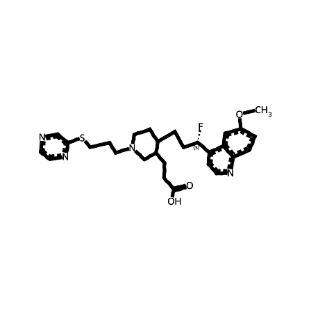 COc1ccc2nccc([C@@H](F)CCC3CCN(CCCSc4cnccn4)CC3CCC(=O)O)c2c1